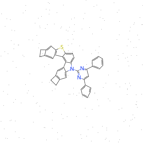 c1ccc(-c2cc(-c3ccccc3)nc(-n3c4cc5c(cc4c4c6c(ccc43)sc3cc4c(cc36)CC4)CC5)n2)cc1